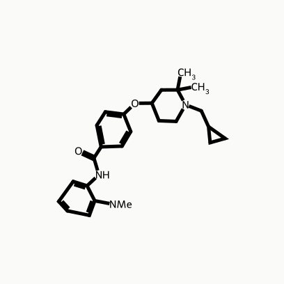 CNc1ccccc1NC(=O)c1ccc(OC2CCN(CC3CC3)C(C)(C)C2)cc1